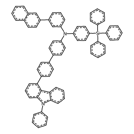 c1ccc(-n2c3ccccc3c3c(-c4ccc(-c5ccc(N(c6ccc([Si](c7ccccc7)(c7ccccc7)c7ccccc7)cc6)c6cccc(-c7ccc8ccccc8c7)c6)cc5)cc4)cccc32)cc1